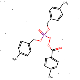 CCCCc1ccc(C(=O)OOP(=O)(OCc2ccc(C)cc2)OCc2ccc(C)cc2)cc1